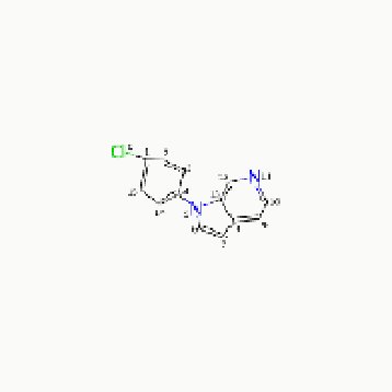 Clc1ccc(-n2c[c]c3ccncc32)cc1